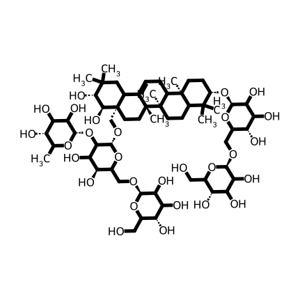 CC1O[C@@H](OC2C(O)[C@H](O)C(CO[C@@H]3OC(CO)[C@@H](O)C(O)C3O)O[C@H]2OC[C@@]23CC[C@]4(C)C(=CCC5[C@@]6(C)CC[C@H](O[C@@H]7OC(CO[C@@H]8OC(CO)[C@@H](O)C(O)C8O)[C@@H](O)C(O)C7O)C(C)(C)C6CC[C@]54C)C2CC(C)(C)[C@@H](O)[C@@H]3O)C(O)C(O)[C@H]1O